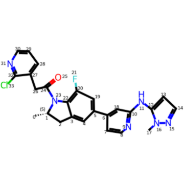 C[C@H]1Cc2cc(-c3ccnc(Nc4ccnn4C)c3)cc(F)c2N1C(=O)Cc1cccnc1Cl